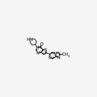 Cc1cn2cc(-c3cc4ncn(C5CCNCC5)c(=O)c4s3)ncc2n1